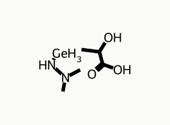 CC(O)C(=O)O.CN(C)[NH][GeH3]